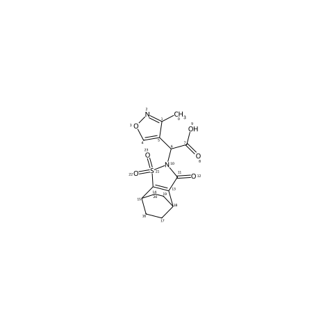 Cc1nocc1C(C(=O)O)N1C(=O)C2=C(C3CCC2CC3)S1(=O)=O